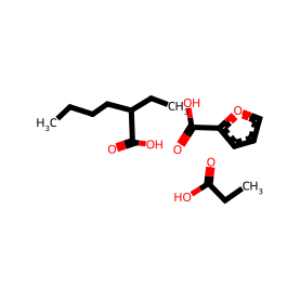 CCC(=O)O.CCCCC(CC)C(=O)O.O=C(O)c1ccco1